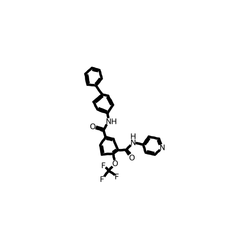 O=C(Nc1ccc(-c2ccccc2)cc1)c1ccc(OC(F)(F)F)c(C(=O)Nc2ccncc2)c1